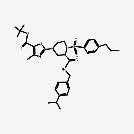 CCCc1ccc(S(=O)(=O)N2CCN(c3nc(C)c(C(=O)OC(C)(C)C)s3)C[C@@H]2C(=O)NCc2ccc(C(C)C)cc2)cc1